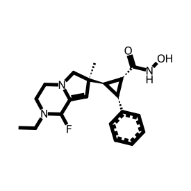 CCN1CCN2C[C@@](C)([C@H]3[C@H](C(=O)NO)[C@@H]3c3ccccc3)C=C2C1F